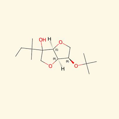 CCC(C)(C)C1(O)CO[C@@H]2[C@H](OC(C)(C)C)CO[C@@H]21